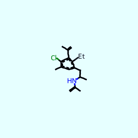 C=C(C)NC(C)Cc1cc(C)c(Cl)c(C(=C)C)c1CC